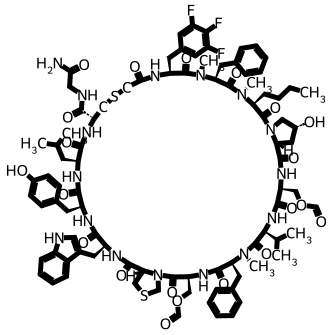 CCCC[C@H]1C(=O)N2C[C@H](O)C[C@@H]2C(=O)N[C@@H](COC=O)C(=O)N[C@@H](C(C)C)C(=O)N(C)[C@@H](Cc2ccccc2)C(=O)N[C@@H](COC=O)C(=O)N2CSC[C@@H]2C(=O)N[C@@H](Cc2c[nH]c3ccccc23)C(=O)N[C@@H](Cc2ccc(O)cc2)C(=O)N[C@@H](CC(C)C)C(=O)N[C@H](C(=O)NCC(N)=O)CSCC(=O)N[C@@H](Cc2cc(F)c(F)c(F)c2)C(=O)N(C)[C@@H](Cc2ccccc2)C(=O)N1C